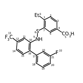 CCc1ccc(C(=O)O)cc1SNc1cc(C(F)(F)F)ccc1-c1cccc(F)c1